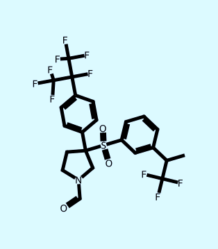 CC(c1cccc(S(=O)(=O)C2(c3ccc(C(F)(C(F)(F)F)C(F)(F)F)cc3)CCN(C=O)C2)c1)C(F)(F)F